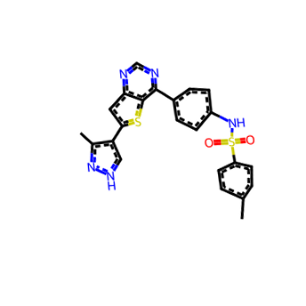 Cc1ccc(S(=O)(=O)Nc2ccc(-c3ncnc4cc(-c5c[nH]nc5C)sc34)cc2)cc1